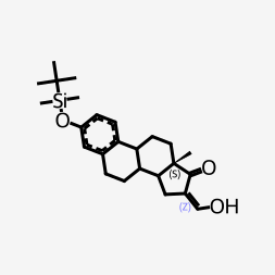 CC(C)(C)[Si](C)(C)Oc1ccc2c(c1)CCC1C2CC[C@]2(C)C(=O)/C(=C\O)CC12